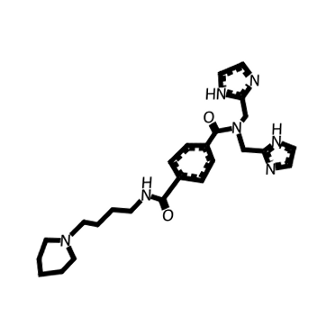 O=C(NCCCCN1CCCCC1)c1ccc(C(=O)N(Cc2ncc[nH]2)Cc2ncc[nH]2)cc1